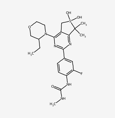 CCC1COCCN1c1nc(-c2ccc(NC(=O)NC)c(F)c2)nc2c1CS(O)(O)C2(C)C